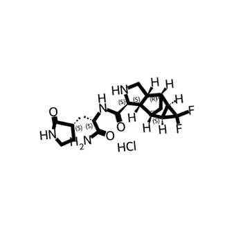 Cl.NC(=O)[C@H](C[C@@H]1CCNC1=O)NC(=O)[C@H]1NC[C@@H]2[C@H]3C[C@@H]([C@@H]21)[C@H]1[C@@H]3C1(F)F